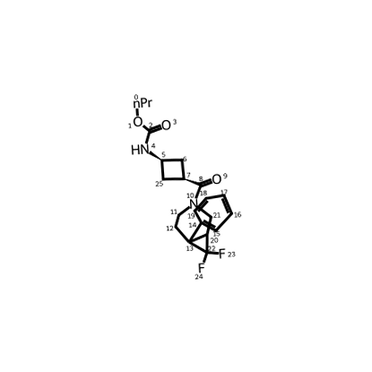 CCCOC(=O)N[C@H]1C[C@@H](C(=O)N2CCC3(c4ccccc4)C(C2)C3(F)F)C1